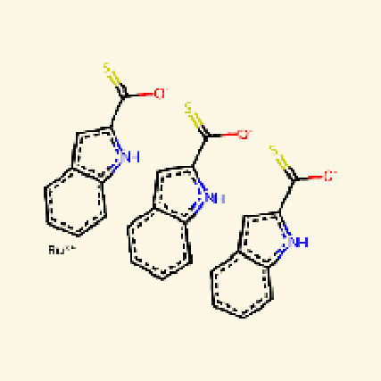 [O-]C(=S)c1cc2ccccc2[nH]1.[O-]C(=S)c1cc2ccccc2[nH]1.[O-]C(=S)c1cc2ccccc2[nH]1.[Ru+3]